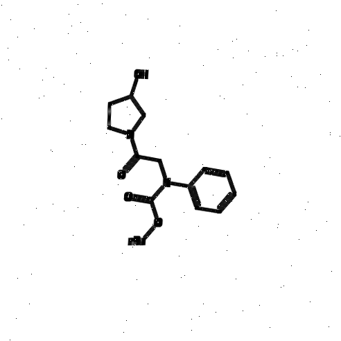 CCCCOC(=O)N(CC(=O)N1CCC(O)C1)c1ccccc1